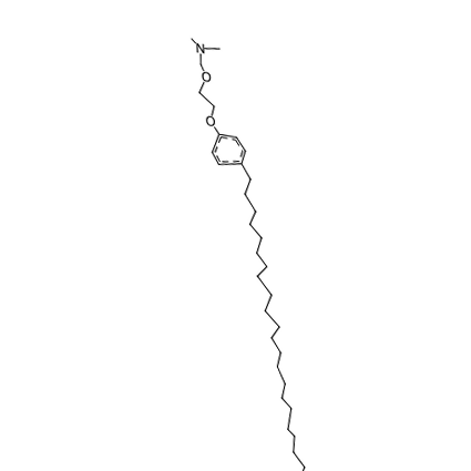 CCCCCCCCCCCCCCCCCCCCCCCc1ccc(OCCOCN(C)C)cc1